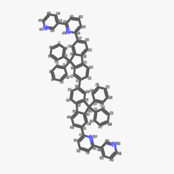 c1ccc(C2(c3ccccc3)c3cc(-c4ccc5c(c4)C(c4ccccc4)(c4ccccc4)c4cc(-c6cccc(-c7cccnc7)n6)ccc4-5)ccc3-c3ccc(-c4cccc(-c5cccnc5)n4)cc32)cc1